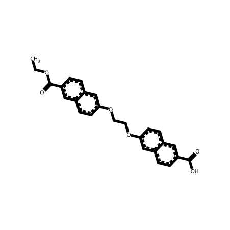 CCOC(=O)c1ccc2cc(OCCOc3ccc4cc(C(=O)O)ccc4c3)ccc2c1